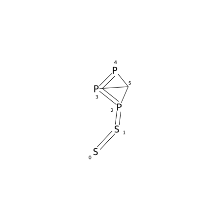 S=S=P1=P2=PC21